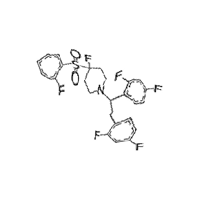 O=S(=O)(c1ccccc1F)C1(F)CCN(C(Cc2ccc(F)cc2F)c2ccc(F)cc2F)CC1